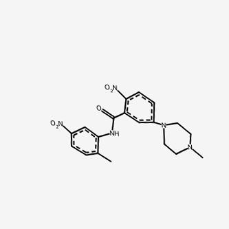 Cc1ccc([N+](=O)[O-])cc1NC(=O)c1cc(N2CCN(C)CC2)ccc1[N+](=O)[O-]